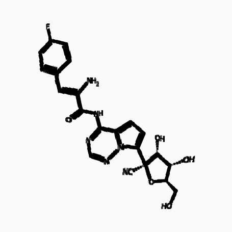 N#C[C@@]1(c2ccc3c(NC(=O)C(N)=Cc4ccc(F)cc4)ncnn23)O[C@H](CO)[C@@H](O)[C@H]1O